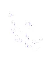 C=N/C(=N\c1c(C)ccc(=O)n1CCC1CNC1)Nc1ccc(N2CCN(C)CC2)nc1